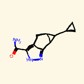 NC(=O)c1[nH]nc2c1CC1C2C1C1CC1